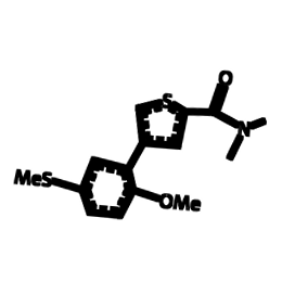 COc1ccc(SC)cc1-c1csc(C(=O)N(C)C)c1